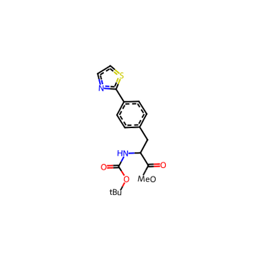 COC(=O)C(Cc1ccc(-c2nccs2)cc1)NC(=O)OC(C)(C)C